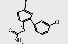 NC(=O)Oc1ccc(F)cc1-c1cccc(Cl)c1